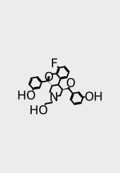 Cc1c(F)cccc1C1[C@@H](C(=O)c2cccc(O)c2)CN(CCO)C[C@@H]1C(=O)c1cccc(O)c1